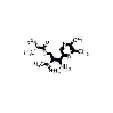 CCCCN(C)C(=O)OC/C(=C(/N)c1cnc(O)c(C)n1)N(C)N